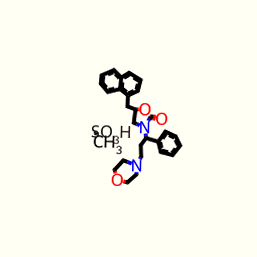 CS(=O)(=O)O.O=C1OC(Cc2cccc3ccccc23)CN1C(CCN1CCOCC1)c1ccccc1